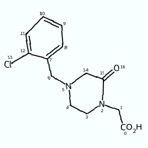 O=C(O)CN1CCN(Cc2ccccc2Cl)CC1=O